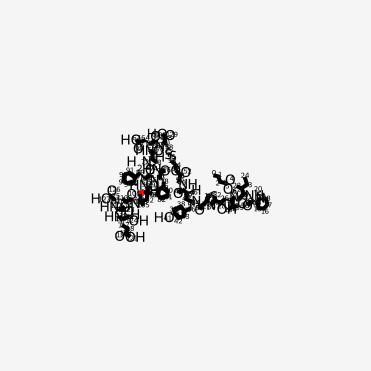 CCCC(=O)OCN(C(=O)[C@@H](NC(=O)[C@H]1CCCCN1C)C(C)CC)[C@H](C[C@@H](O)c1nc(C(=O)N[C@@H](Cc2ccc(O)cc2)C[C@H](C)C(=O)NCC(=O)OCCSSC[C@H](NC(=O)[C@H](CC(=O)O)NC(=O)[C@@H](N)CNC(=O)[C@H](Cc2ccccc2)NC(=O)[C@H](Cc2ccccc2)NC(=O)C(C)(C)CC(C)(C)NC(=O)CC[C@H](NC(=O)N[C@@H](CCC(=O)O)C(=O)O)C(=O)O)C(=O)O)cs1)C(C)C